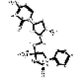 Nc1ccn([C@H]2C[C@H](O)[C@@H](COC(COc3ccccc3)(NP=O)C(=O)O)O2)c(=O)n1